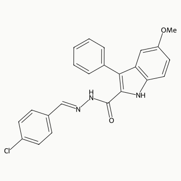 COc1ccc2[nH]c(C(=O)NN=Cc3ccc(Cl)cc3)c(-c3ccccc3)c2c1